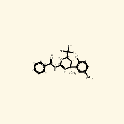 C[C@@]1(c2cc(N)ccc2F)CC(C(F)(F)F)OC(NC(=O)c2ccccc2)=N1